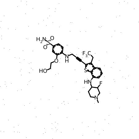 CN1CCC(Nc2cccc3c(CC(F)(F)F)c(C#CCNc4ccc(S(N)(=O)=O)cc4OCCO)sc23)C(F)C1